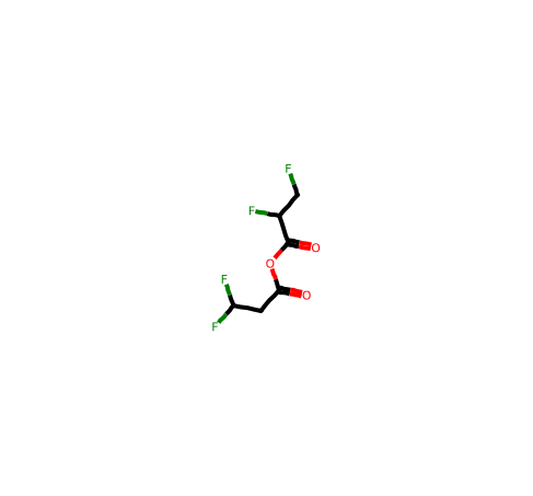 O=C(CC(F)F)OC(=O)C(F)CF